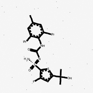 Cc1cc(C(C)C)c(NC(=O)N=[S@](N)(=O)c2sc(C(C)(C)O)cc2F)c(C(C)C)c1